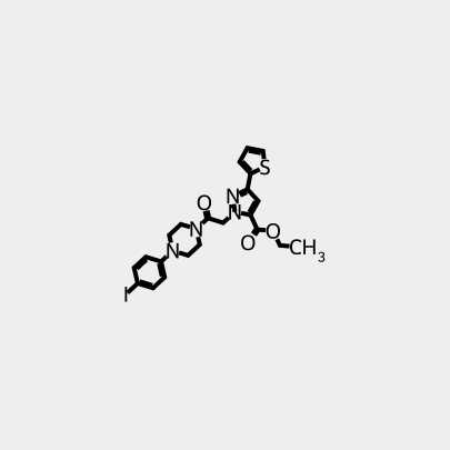 CCOC(=O)c1cc(-c2cccs2)nn1CC(=O)N1CCN(c2ccc(I)cc2)CC1